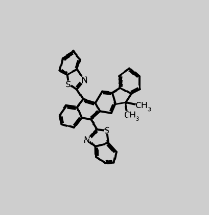 CC1(C)c2ccccc2-c2cc3c(-c4nc5ccccc5s4)c4ccccc4c(-c4nc5ccccc5s4)c3cc21